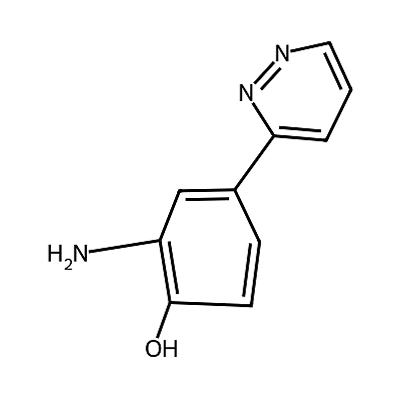 Nc1cc(-c2cccnn2)ccc1O